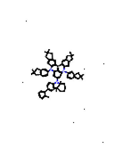 Cc1ccccc1-c1ccc2c(c1)C1(C)CCCCC1(C)N2c1cc2c3c(c1)N(c1ccc4c(c1)CC(C)(C)C4)c1cc4c(cc1B3c1cc3c(cc1N2c1ccc2c(c1)CC(C)(C)C2)CC(C)(C)C3)CC(C)(C)C4